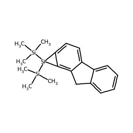 C[Si](C)(C)[Si]1([Si](C)(C)C)c2ccc3c(c21)[CH]c1ccccc1-3